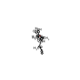 COc1cc(NC(=O)CCCCN(C)C(=O)CCN2CC3CCCC3C2)c(Cl)cc1CNC[C@H](O[Si](C)(C)C(C)(C)C)c1ccc(O)c2[nH]c(=O)ccc12